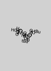 CC(C)(C)OC(=O)N1CCN(C(=O)OC(C)(C)C)[C@@H](c2nnc([C@@H]3CC[C@H]4CN3C(=O)N4O)o2)C1